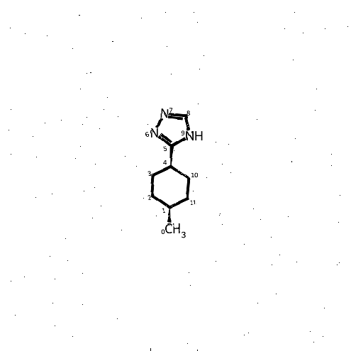 C[C@H]1CC[C@@H](c2nnc[nH]2)CC1